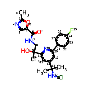 Cc1ncc(C(=O)NCC(O)(c2cc(C(C)(C)NCl)cc(-c3ccc(F)cc3)n2)C(F)(F)F)o1